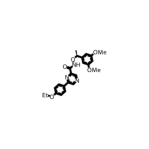 CCOc1ccc(-c2cncc(C(=O)NO[C@@H](C)c3cc(OC)cc(OC)c3)n2)cc1